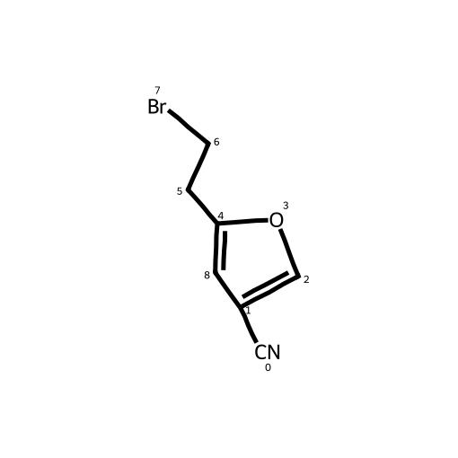 N#Cc1coc(CCBr)c1